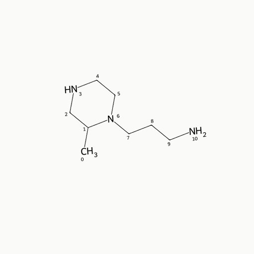 CC1CNCCN1CCCN